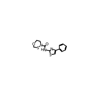 O=C(Nc1nc(-c2ccccc2)cs1)N1CCOCS1